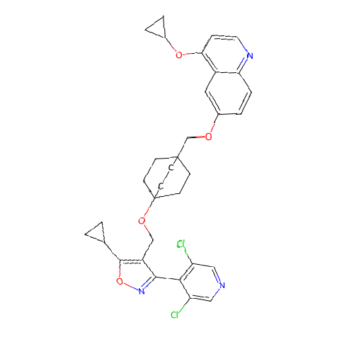 Clc1cncc(Cl)c1-c1noc(C2CC2)c1COC12CCC(COc3ccc4nccc(OC5CC5)c4c3)(CC1)CC2